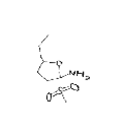 CCC1CCC(N)(S(C)(=O)=O)O1